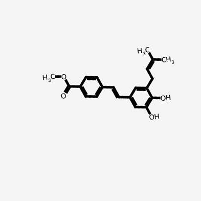 COC(=O)c1ccc(C=Cc2cc(O)c(O)c(CC=C(C)C)c2)cc1